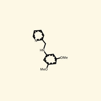 COc1cc(NCc2ccccn2)cc(OC)c1